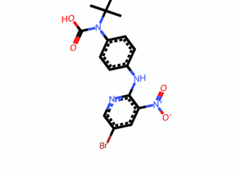 CC(C)(C)N(C(=O)O)c1ccc(Nc2ncc(Br)cc2[N+](=O)[O-])cc1